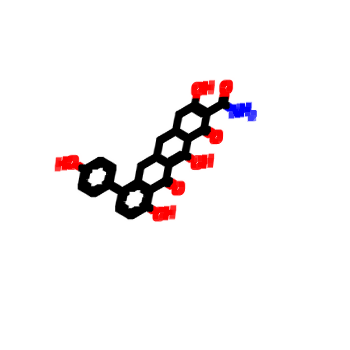 NC(=O)C1=C(O)CC2CC3Cc4c(-c5ccc(O)cc5)ccc(O)c4C(=O)C3=C(O)C2C1=O